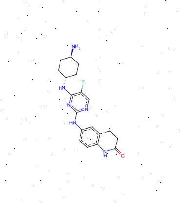 N[C@H]1CC[C@H](Nc2nc(Nc3ccc4c(c3)CCC(=O)N4)ncc2F)CC1